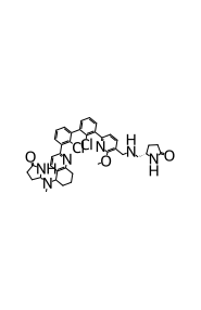 COc1nc(-c2cccc(-c3cccc(-c4ccc5c(n4)CCCC5N(C)[C@H]4CCC(=O)N4)c3Cl)c2Cl)ccc1CNC[C@@H]1CCC(=O)N1